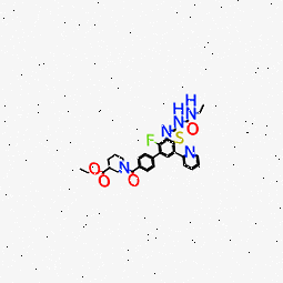 CCNC(=O)Nc1nc2c(F)c(-c3ccc(C(=O)N4CCCC(C(=O)OCC)C4)cc3)cc(-c3ccccn3)c2s1